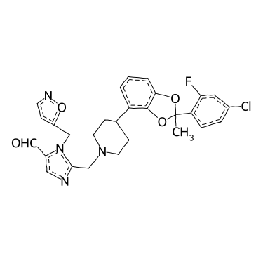 CC1(c2ccc(Cl)cc2F)Oc2cccc(C3CCN(Cc4ncc(C=O)n4Cc4ccno4)CC3)c2O1